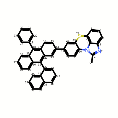 Cc1nc2cccc3c2n1-c1ccc(-c2ccc4c(-c5ccccc5)c5ccccc5c(-c5cccc6ccccc56)c4c2)cc1S3